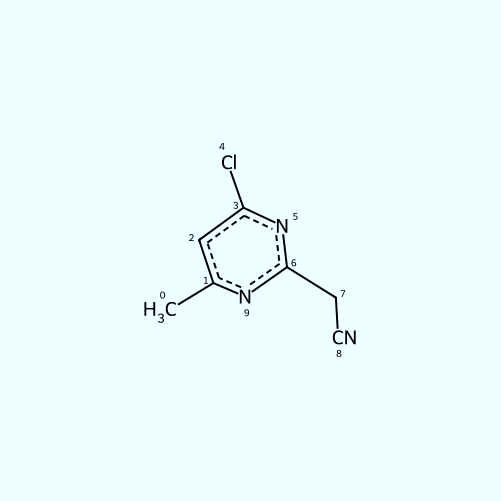 Cc1cc(Cl)nc(CC#N)n1